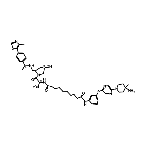 Cc1ncsc1-c1ccc([C@H](C)NCC2C[C@@H](O)CN2C(=O)[C@@H](NC(=O)CCCCCCCCC(=O)Nc2cccc(Sc3cnc(N4CCC(C)(N)CC4)cn3)c2)C(C)(C)C)cc1